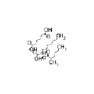 CCCCC(C)C(=O)O.CCCCCCCCC(=O)O.O=C(O)CCCCC(=O)O